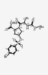 COC(=O)[C@@H]1C[C@H](OS(=O)(=O)c2ccc(Br)cc2)CN1C(=O)C(NC(=O)OC(C)(C)C)C(C)C